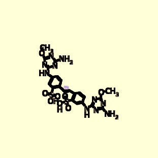 COc1nc(N)nc(Nc2ccc(/C=C/c3ccc(Nc4nc(N)nc(OC)n4)cc3S(=O)(=O)O)c(S(=O)(=O)O)c2)n1